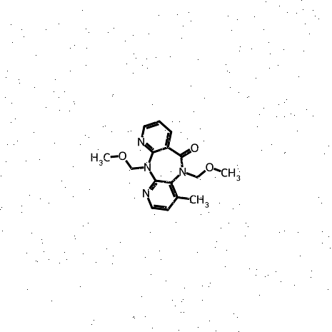 COCN1C(=O)c2cccnc2N(COC)c2nccc(C)c21